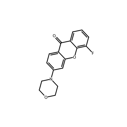 O=c1c2ccc(N3CCOCC3)cc2oc2c(F)cccc12